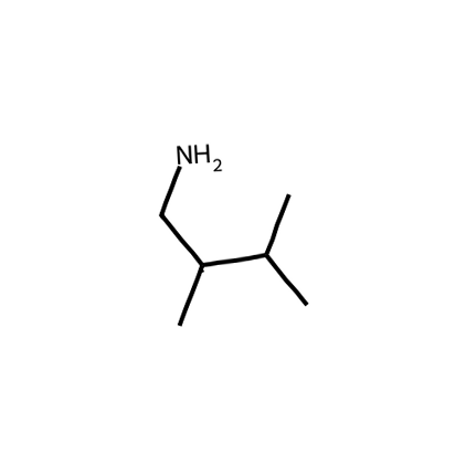 C[C](CN)C(C)C